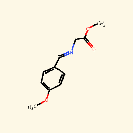 COC(=O)CN=Cc1ccc(OC)cc1